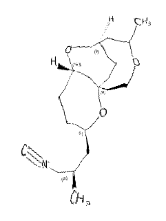 [C-]#[N+][C@H](C)C[C@H]1CC[C@@H]2O[C@@H]3C[C@]2(COC3C)O1